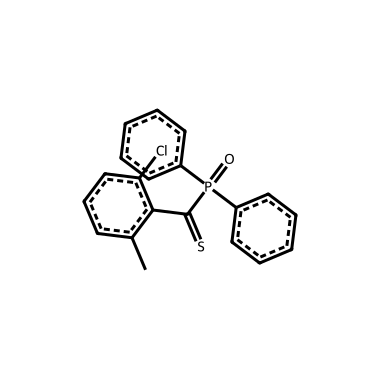 Cc1cccc(Cl)c1C(=S)P(=O)(c1ccccc1)c1ccccc1